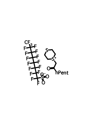 CCCCCC(=O)C[S+]1CCSCC1.O=S(=O)([O-])C(F)(F)C(F)(F)C(F)(F)C(F)(F)C(F)(F)C(F)(F)C(F)(F)C(F)(F)F